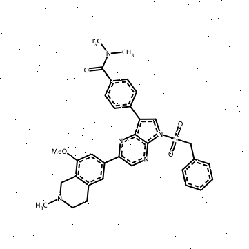 COc1cc(-c2cnc3c(n2)c(-c2ccc(C(=O)N(C)C)cc2)cn3S(=O)(=O)Cc2ccccc2)cc2c1CN(C)CC2